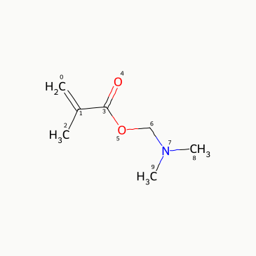 C=C(C)C(=O)OCN(C)C